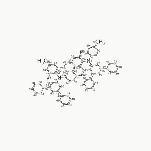 Cc1ccc(N(c2cc(-c3ccccc3)cc(-c3ccccc3)c2)c2ccc3ccc4c(N(c5cc(-c6ccccc6)cc(-c6ccccc6)c5)c5ccc(C)cc5F)ccc5ccc2c3c54)c(F)c1